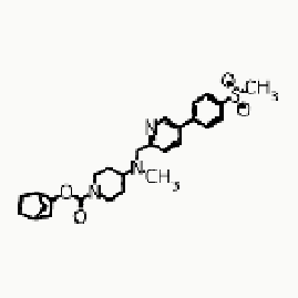 CN(Cc1ccc(-c2ccc(S(C)(=O)=O)cc2)cn1)C1CCN(C(=O)OC2CC3CCC2C3)CC1